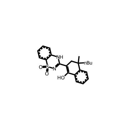 CCCCC1(C)CC(C2=NS(=O)(=O)c3ccccc3N2)=C(O)c2ccccc21